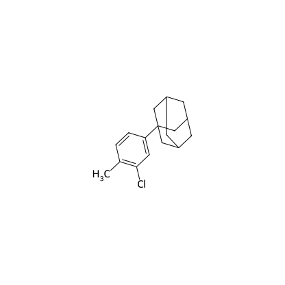 Cc1ccc(C23CC4CC(CC(C4)C2)C3)cc1Cl